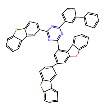 c1ccc(-c2cccc(-c3nc(-c4ccc5sc6ccccc6c5c4)nc(-c4cc(-c5ccc6sc7ccccc7c6c5)cc5oc6ccccc6c45)n3)c2)cc1